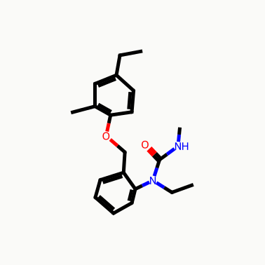 CCc1ccc(OCc2ccccc2N(CC)C(=O)NC)c(C)c1